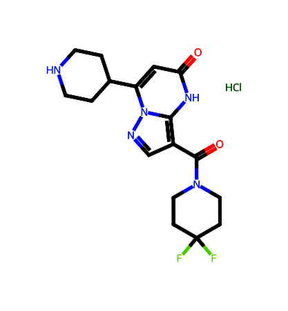 Cl.O=C(c1cnn2c(C3CCNCC3)cc(=O)[nH]c12)N1CCC(F)(F)CC1